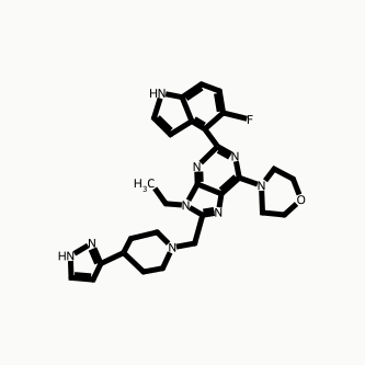 CCn1c(CN2CCC(c3cc[nH]n3)CC2)nc2c(N3CCOCC3)nc(-c3c(F)ccc4[nH]ccc34)nc21